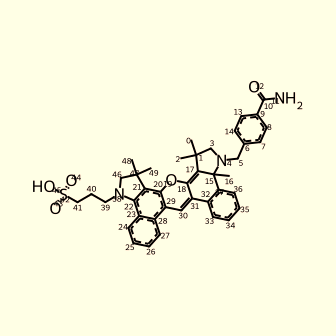 CC1(C)CN(Cc2ccc(C(N)=O)cc2)C2(C)C1=C1Oc3c4c(c5ccccc5c3C=C1c1ccccc12)N(CCCS(=O)(=O)O)CC4(C)C